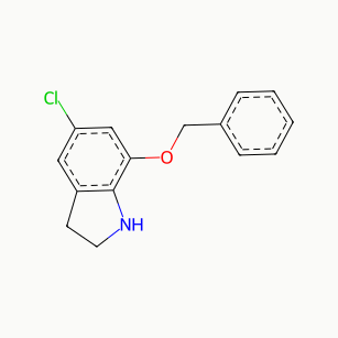 Clc1cc2c(c(OCc3ccccc3)c1)NCC2